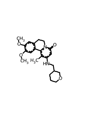 COc1cc2c(cc1OC)-c1c(C)c(NCC3CCCOC3)cc(=O)n1CC2